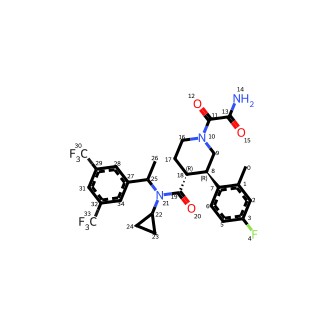 Cc1cc(F)ccc1[C@@H]1CN(C(=O)C(N)=O)CC[C@H]1C(=O)N(C1CC1)C(C)c1cc(C(F)(F)F)cc(C(F)(F)F)c1